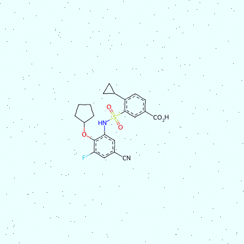 N#Cc1cc(F)c(OC2CCCC2)c(NS(=O)(=O)c2cc(C(=O)O)ccc2C2CC2)c1